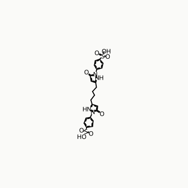 O=c1cc(CCCCc2cc(=O)n(-c3ccc(S(=O)(=O)O)cc3)[nH]2)[nH]n1-c1ccc(S(=O)(=O)O)cc1